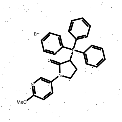 COc1ccc(N2CCC([P+](c3ccccc3)(c3ccccc3)c3ccccc3)C2=O)cn1.[Br-]